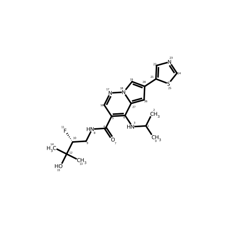 CC(C)Nc1c(C(=O)NC[C@@H](F)C(C)(C)O)cnn2cc(-c3cncs3)cc12